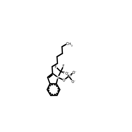 CCCCCCC1=Cc2ccccc2S1(O[I+3]([O-])([O-])[O-])C(F)(F)F